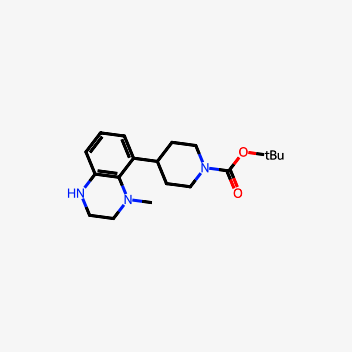 CN1CCNc2cccc(C3CCN(C(=O)OC(C)(C)C)CC3)c21